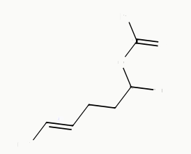 CCC/C=C/CCC(CC)OC(=O)C(C)C